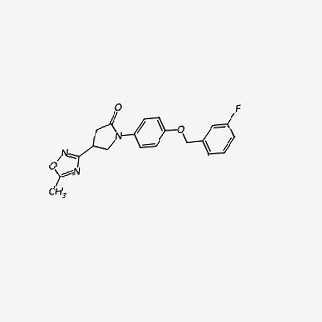 Cc1nc(C2CC(=O)N(c3ccc(OCc4cccc(F)c4)cc3)C2)no1